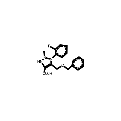 CN1NC(C(=O)O)=C(COCc2ccccc2)N1c1ccccc1F